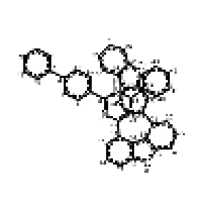 c1ccc(-c2ccc(C3=NC(c4cccc5oc6cccc(-c7ccc8c(c7)oc7ccccc78)c6c45)=NC(c4ccccc4)N3)cc2)cc1